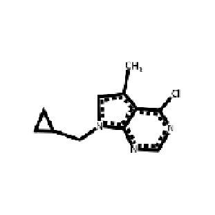 Cc1cn(CC2CC2)c2ncnc(Cl)c12